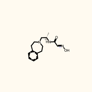 C[C@@H](CN1CCc2ccccc2CC1)NC(=O)/C=N/O